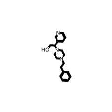 OCC(c1cccnc1)N1CCN(CCc2ccccc2)CC1